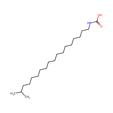 CC(C)CCCCCCCCCCCCCCCCNC(=O)O